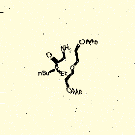 CCCCN(CC)C(=O)CN.COCCOCCOC